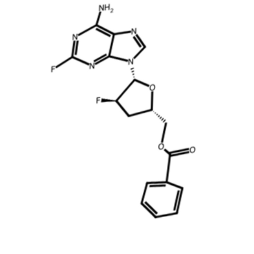 Nc1nc(F)nc2c1ncn2[C@@H]1O[C@H](COC(=O)c2ccccc2)C[C@H]1F